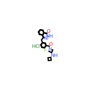 Cl.O=C(c1cc(Cc2n[nH]c(=O)c3ccccc23)ccc1F)N1CC(NC2CCC2)C1